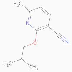 Cc1ccc(C#N)c(OCC(C)C)n1